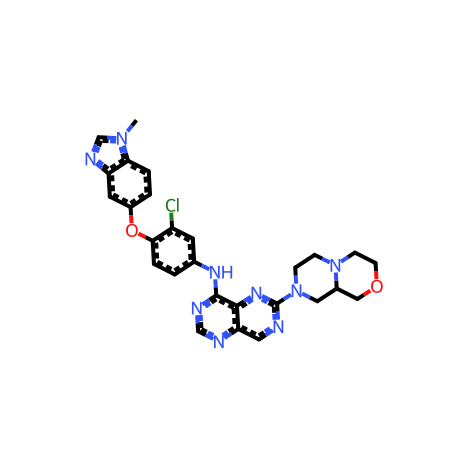 Cn1cnc2cc(Oc3ccc(Nc4ncnc5cnc(N6CCN7CCOCC7C6)nc45)cc3Cl)ccc21